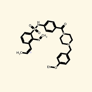 C=Nc1c(/C=C\C)cccc1S(=O)(=O)Nc1ccc(C(=O)N2CCN(Cc3ccc(OCC)cc3)CC2)cc1